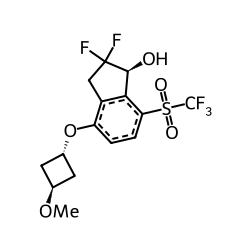 CO[C@H]1C[C@H](Oc2ccc(S(=O)(=O)C(F)(F)F)c3c2CC(F)(F)[C@H]3O)C1